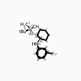 CC(C)(C)[Si](C)(C)O[C@@H]1CCCC[C@H]1Nc1cccc(F)c1